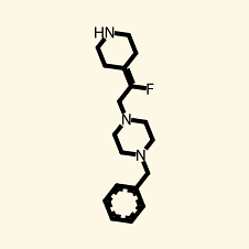 FC(CN1CCN(Cc2ccccc2)CC1)=C1CCNCC1